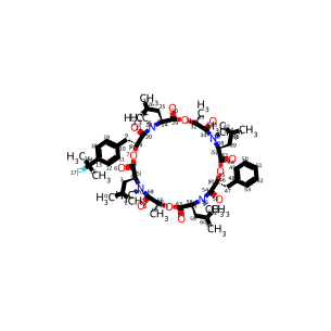 CC(C)C[C@H]1C(=O)O[C@H](Cc2ccc(C(C)(C)F)cc2)C(=O)N(C)[C@@H](CC(C)C)C(=O)O[C@H](C)C(=O)N(C)[C@@H](CC(C)C)C(=O)O[C@H](Cc2ccccc2)C(=O)N(C)[C@@H](CC(C)C)C(=O)O[C@H](C)C(=O)N1C